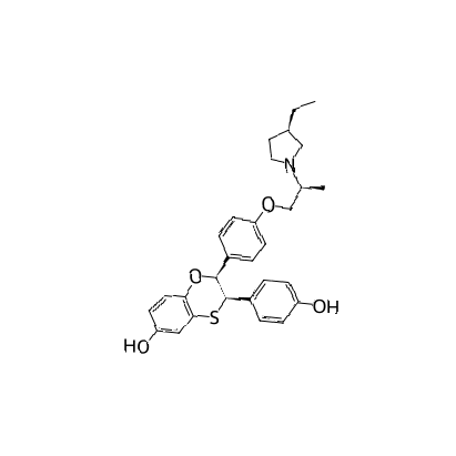 CC[C@@H]1CCN([C@@H](C)COc2ccc([C@@H]3Oc4ccc(O)cc4S[C@@H]3c3ccc(O)cc3)cc2)C1